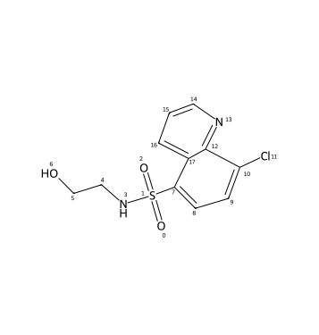 O=S(=O)(NCCO)c1ccc(Cl)c2ncccc12